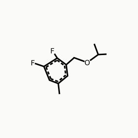 Cc1cc(F)c(F)c(COC(C)C)c1